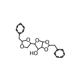 OC1C(C2COC(Cc3ccccc3)O2)OC2OC(Cc3ccccc3)OC21